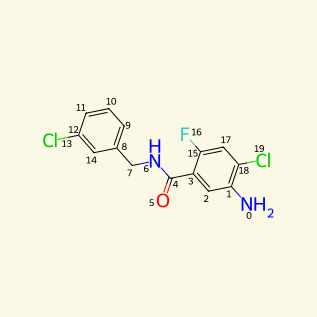 Nc1cc(C(=O)NCc2cccc(Cl)c2)c(F)cc1Cl